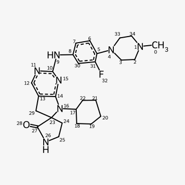 CN1CCN(c2ccc(Nc3ncc4c(n3)N(C3CCCCC3)C3(CCNC3=O)C4)cc2F)CC1